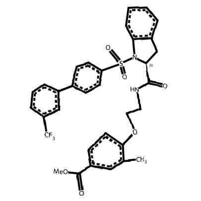 COC(=O)c1ccc(OCCNC(=O)[C@@H]2Cc3ccccc3N2S(=O)(=O)c2ccc(-c3cccc(C(F)(F)F)c3)cc2)c(C)c1